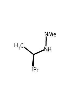 CNN[C@H](C)C(C)C